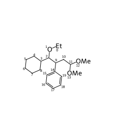 CCOC(C1CCCCC1)C(CC(OC)OC)c1ccccc1